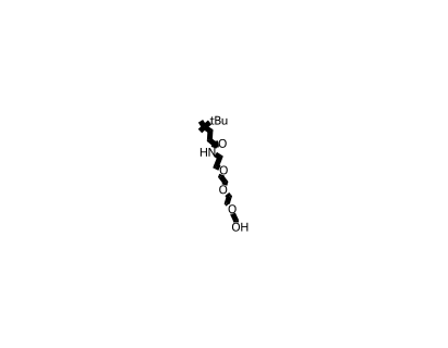 CC(C)(C)C(C)(C)CCC(=O)NCCOCCOCCOCCO